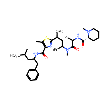 CC(=O)OC(CC(C(C)C)N(C)C(=O)C(NC(=O)[C@H]1CCCCN1C)C(C)C)c1nc(C(=O)NC(Cc2ccccc2)CC(C)C(=O)O)c(C)s1